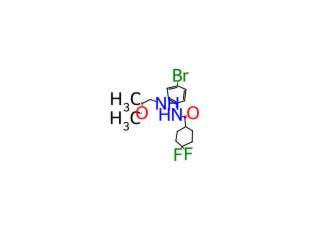 CO[C@H](C)CNc1cc(Br)ccc1NC(=O)C1CCC(F)(F)CC1